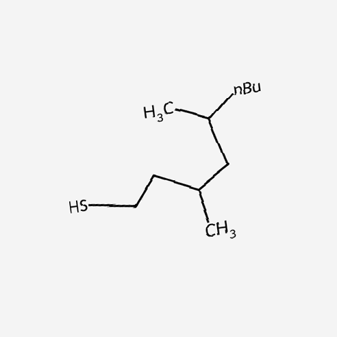 CCCCC(C)CC(C)CCS